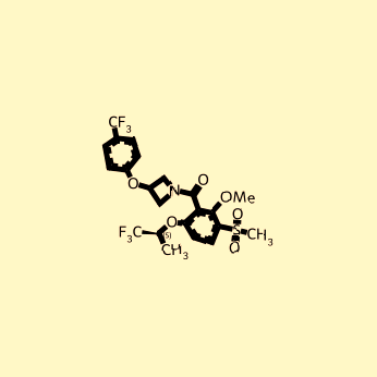 COc1c(S(C)(=O)=O)ccc(O[C@@H](C)C(F)(F)F)c1C(=O)N1CC(Oc2ccc(C(F)(F)F)cc2)C1